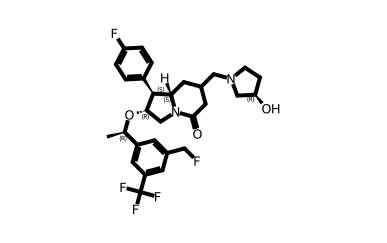 C[C@@H](O[C@H]1CN2C(=O)CC(CN3CC[C@@H](O)C3)C[C@H]2[C@@H]1c1ccc(F)cc1)c1cc(CF)cc(C(F)(F)F)c1